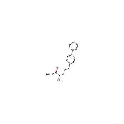 COC(=O)C(C)CCCc1ccc(-c2ccccc2)cc1